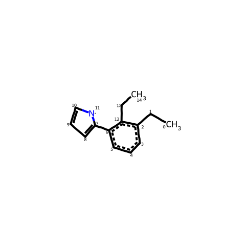 CCc1cccc(C2=CC=C[N]2)c1CC